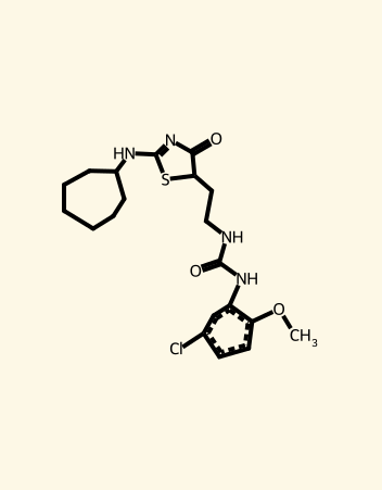 COc1ccc(Cl)cc1NC(=O)NCCC1SC(NC2CCCCCC2)=NC1=O